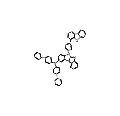 c1ccc(-c2ccc(N(c3ccc(-c4ccccc4)cc3)c3ccc4c(c3)n3c5ccccc5nc3n4-c3ccc(-c4cccc5c4oc4ccccc45)cc3)cc2)cc1